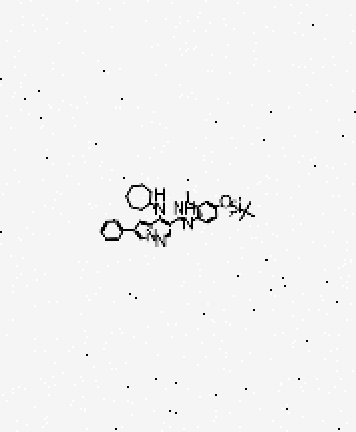 CCc1cc(O[Si](C)(C)C(C)(C)C)ccc1/N=C(\N)c1cnn2cc(-c3ccccc3)cc2c1NC1CCCCCC1